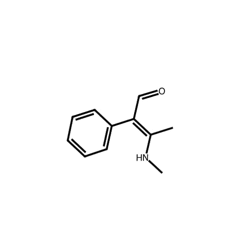 CNC(C)=C(C=O)c1ccccc1